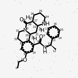 CCOc1cc2c(c(C(=O)N[C@H](C)c3ccccc3)c1)[C@@H]1C[C@@H]3NCCC[C@@H]3C(=O)N1CC2